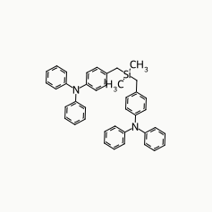 C[Si](C)(Cc1ccc(N(c2ccccc2)c2ccccc2)cc1)Cc1ccc(N(c2ccccc2)c2ccccc2)cc1